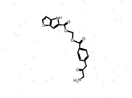 NCC(=O)Cc1ccc(C(=O)OCOC(=O)c2cc3occc3[nH]2)cc1